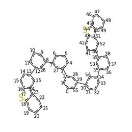 c1cc(-c2cccc(-c3cccc(-c4ccc5sc6ccccc6c5c4)c3)c2)cc(-c2cccc(-c3cccc(-c4ccc5sc6ccccc6c5c4)c3)c2)c1